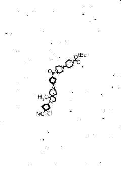 CC1N(c2ccc(C#N)c(Cl)c2)CCC12CCN(c1ccc(C(=O)N3CCN(C4CCN(C(=O)OC(C)(C)C)CC4)CC3)cc1)CC2